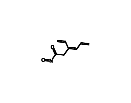 C=C/C=C(\C=C)CC(=O)N=O